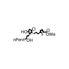 CCCCCC(O)C=C[C@@H]1[C@@H](CCCc2ccc(C(=O)OC)s2)[C@H](Cl)C[C@H]1O